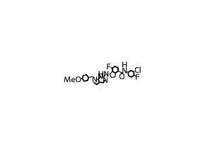 COc1ccc(Cn2ccc3cnc(N[C@H]4CCc5c(C(=O)Nc6ccc(F)c(Cl)c6)ccc(F)c54)nc32)cc1